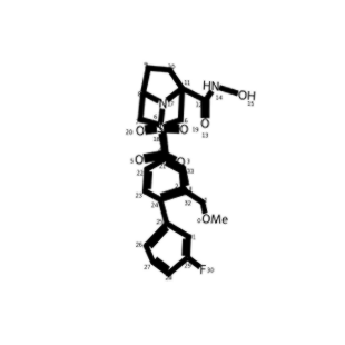 COCCOC(=O)N1CC2CCC(C(=O)NO)(C1)N2S(=O)(=O)c1ccc(-c2cccc(F)c2)nc1